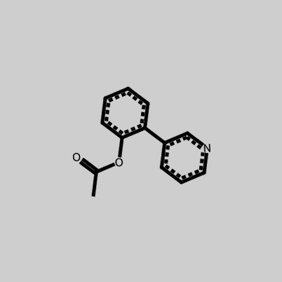 CC(=O)Oc1ccccc1-c1cccnc1